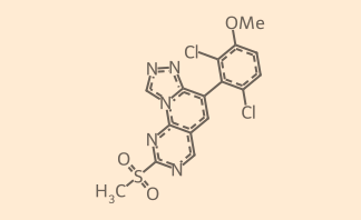 COc1ccc(Cl)c(-c2cc3cnc(S(C)(=O)=O)nc3n3cnnc23)c1Cl